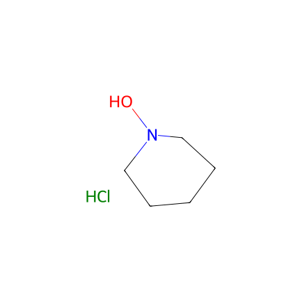 Cl.ON1CCCCC1